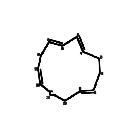 [C]1=C/CC/C=C/C=C/C/C=C\CC/1